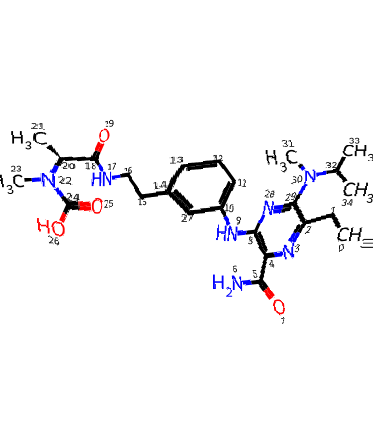 CCc1nc(C(N)=O)c(Nc2cccc(CCNC(=O)[C@H](C)N(C)C(=O)O)c2)nc1N(C)C(C)C